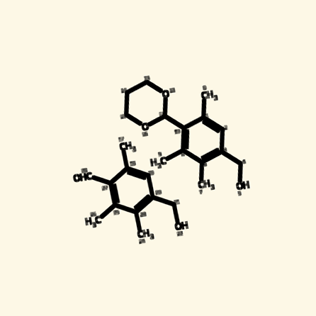 Cc1cc(CO)c(C)c(C)c1C1OCCCO1.Cc1cc(CO)c(C)c(C)c1C=O